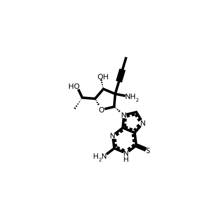 CC#CC1(N)[C@@H](O)[C@@H]([C@H](C)O)O[C@H]1n1cnc2c(=S)[nH]c(N)nc21